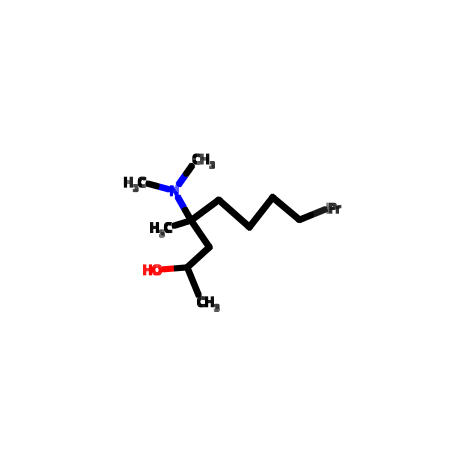 CC(C)CCCCC(C)(CC(C)O)N(C)C